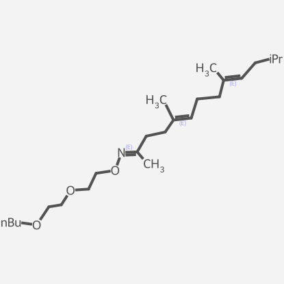 CCCCOCCOCCO/N=C(\C)CC/C(C)=C/CC/C(C)=C/CC(C)C